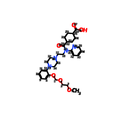 COCCOCOc1ccccc1N1CCN(CCN(C(=O)C2CCC(C(=O)O)CC2)c2ccccn2)CC1